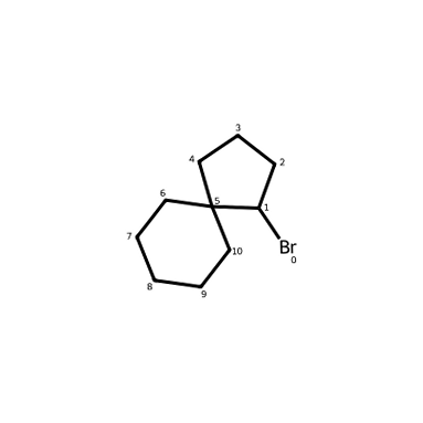 BrC1CCCC12CCCCC2